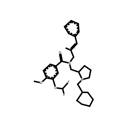 COc1ccc(C(=O)N(C/C(C)=C/c2ccccc2)CC2CCCN2CC2CCCCC2)cc1OC(F)F